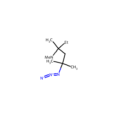 CCC(C)(CC(C)(C)N=[N+]=[N-])NC